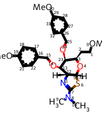 COCC[C@H]1O[C@@H]2SC(N(C)C)=N[C@@H]2[C@@H](OCc2ccc(OC)cc2)[C@H]1OCc1ccc(OC)cc1